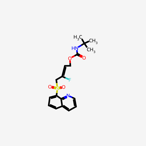 CC(C)(C)NC(=O)OC/C=C(\F)CS(=O)(=O)c1cccc2cccnc12